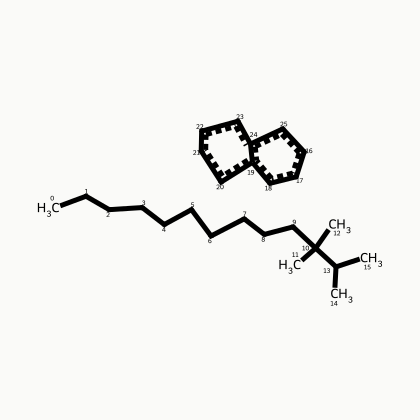 CCCCCCCCCCC(C)(C)C(C)C.c1ccc2ccccc2c1